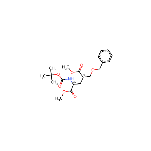 COC(=O)[C@@H](COCc1ccccc1)C[C@H](NC(=O)OC(C)(C)C)C(=O)OC